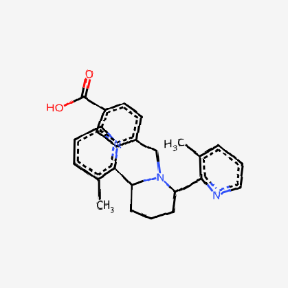 Cc1cccnc1C1CCCC(c2ncccc2C)N1Cc1ccc(C(=O)O)cc1